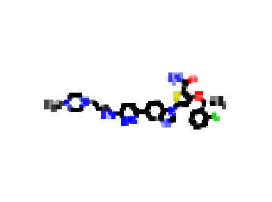 C[C@@H](Oc1cc(-n2cnc3c2C=CC(C2=CCC(NCCCN4CCN(C)CC4)N=N2)C3)sc1C(N)=O)c1ccccc1Cl